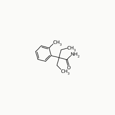 CCC(CC)(C(N)=O)c1ccccc1C